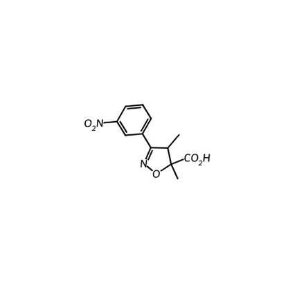 CC1C(c2cccc([N+](=O)[O-])c2)=NOC1(C)C(=O)O